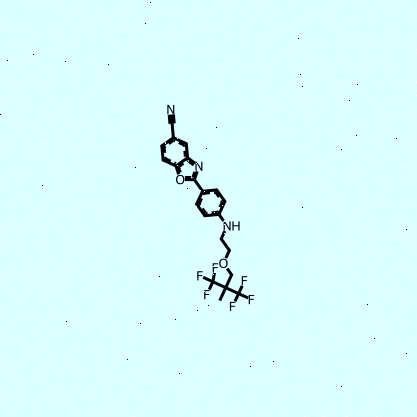 CC(COCCNc1ccc(-c2nc3cc(C#N)ccc3o2)cc1)(C(F)(F)F)C(F)(F)F